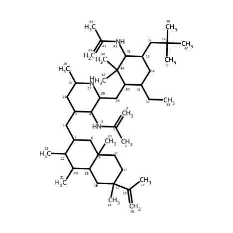 C=C(C)NC1C(CC2CC3(C)CCC(C)(C(=C)C)CC3C(C)C2C)CC(C)NC1CC1C(CC)CC(CC(C)(C)C)C(NC(=C)C)C1(C)C